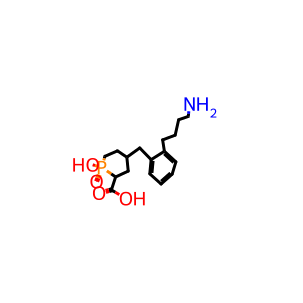 NCCCCc1ccccc1CC1CCP(=O)(O)C(C(=O)O)C1